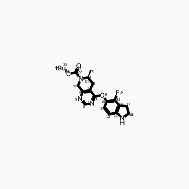 C[C@H]1Cc2c(ncnc2Oc2ccc3c(c2F)CCN3)CN1C(=O)OC(C)(C)C